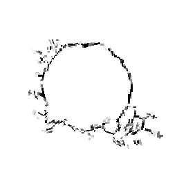 C[C@@H]1[C@H](O)[C@@H](C)/C=C/C=C/CC/C=C/C=C/C=C/C=C/[C@H](O[C@@H]2O[C@H](C)[C@@H](O)[C@H](N)[C@@H]2O)CC2O[C@](O)(C[C@@H](O)CCC[C@@H](O)C[C@@H](O)C[C@@H](O)CC(=O)O[C@H]1C)C[C@H](O)[C@H]2C(=O)O